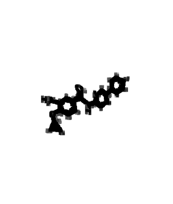 Nc1cc(C(=O)Nc2cnc(-c3ccccc3)cn2)ccc1OC1CC1